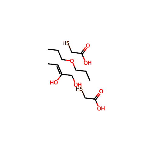 CC=C(O)CO.CCCOCCC.O=C(O)CS.O=C(O)CS